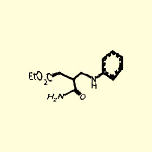 CCOC(=O)CC(CNc1ccccc1)C(N)=O